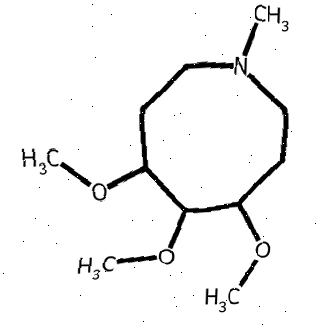 COC1CCN(C)CCC(OC)C1OC